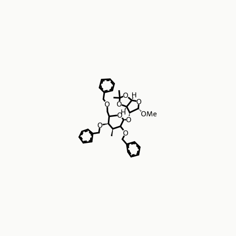 CO[C@H]1O[C@@H]2OC(C)(C)O[C@@H]2[C@H]1O[C@@H]1OC(COCc2ccccc2)[C@H](OCc2ccccc2)[C@H](C)C1OCc1ccccc1